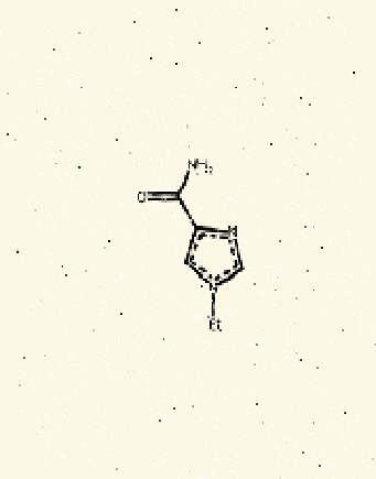 CCn1cnc(C(N)=O)c1